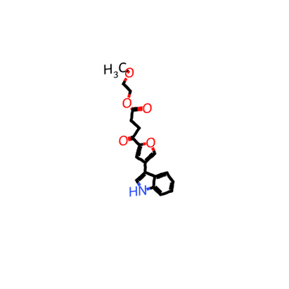 COCCOC(=O)CCC(=O)c1cc(-c2c[nH]c3ccccc23)co1